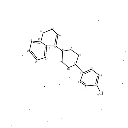 Clc1ccc(C2CCC(C3=CCCc4ccccc43)CC2)cc1